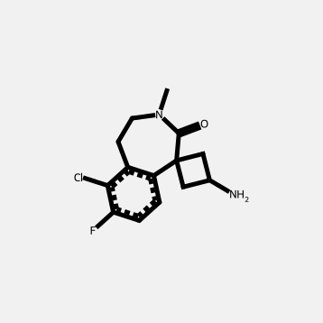 CN1CCc2c(ccc(F)c2Cl)C2(CC(N)C2)C1=O